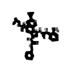 CC(C)CNS(=O)(=O)c1cc2c(c3cnc(C4CC4)cc13)[C@H](NC(=S)Nc1ccccc1N)C[C@H]2NC(=O)OCc1ccccc1